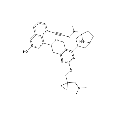 CN(C)CC1(COc2nc3c(c(C4CC5CCC(C4)N5)n2)COC(c2cc(O)cc4cccc(C#CSP(I)I)c24)C3)CC1